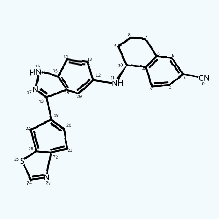 N#Cc1ccc2c(c1)CCC[C@@H]2Nc1ccc2[nH]nc(-c3ccc4ncsc4c3)c2c1